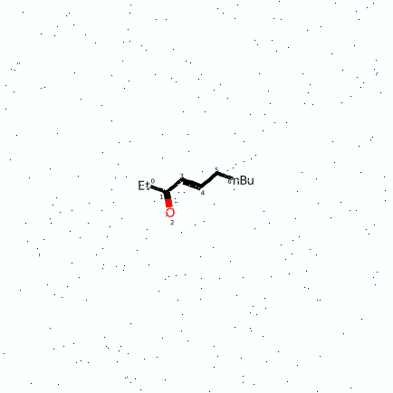 [CH2]CC(=O)/C=C/CCCCC